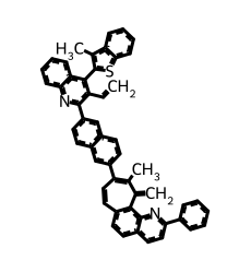 C=Cc1c(-c2ccc3cc(C4=C(C)C(=C)c5c(ccc6ccc(-c7ccccc7)nc56)C=C4)ccc3c2)nc2ccccc2c1-c1sc2ccccc2c1C